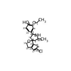 CCOc1cc([C@@H]2C[C@]3(C[C@H](C)N2)OCCc2cc(Cl)sc23)ccc1O